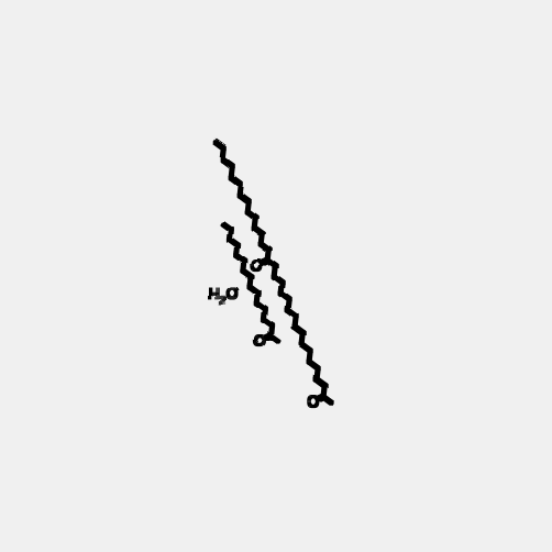 CCCCCCCCCCCCCCC(=O)CCCCCCCCCCCCCCCC(C)=O.CCCCCCCCCCCCCCC(C)=O.O